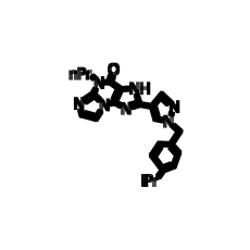 CCCn1c(=O)c2[nH]c(-c3cnn(Cc4ccc(C(C)C)cc4)c3)nc2n2ccnc12